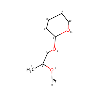 CC(C)OC(C)COC1CCCCO1